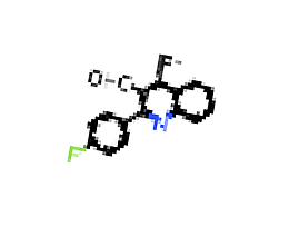 CC(C)c1c(C=O)c(-c2ccc(F)cc2)nc2ccccc12